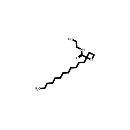 CCCCCCCCCCCCC1(C(=O)NCCO)CCO1